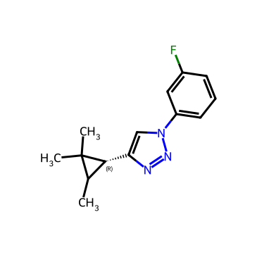 CC1[C@@H](c2cn(-c3cccc(F)c3)nn2)C1(C)C